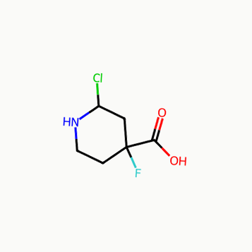 O=C(O)C1(F)CCNC(Cl)C1